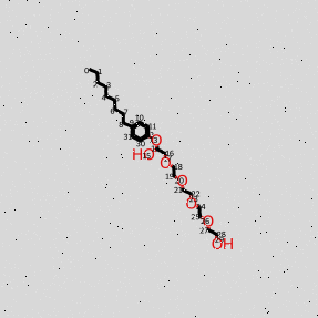 CCCCCCCCCc1ccc(OC(O)COCCOCCOCCOCCO)cc1